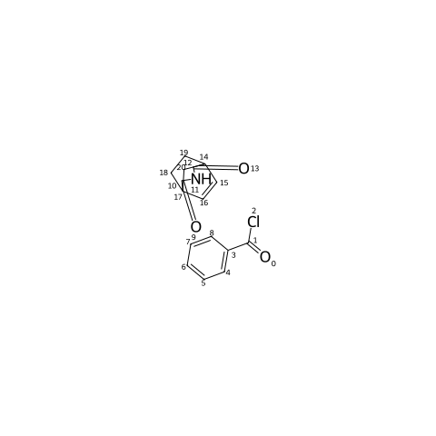 O=C(Cl)c1ccccc1.O=C1NC(=O)C23C=CC1(CC2)C3